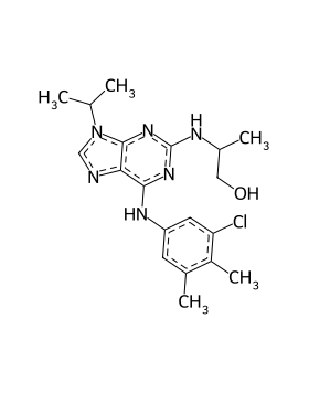 Cc1cc(Nc2nc(NC(C)CO)nc3c2ncn3C(C)C)cc(Cl)c1C